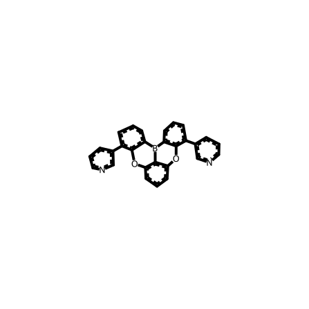 c1cncc(-c2cccc3c2Oc2cccc4c2B3c2cccc(-c3cccnc3)c2O4)c1